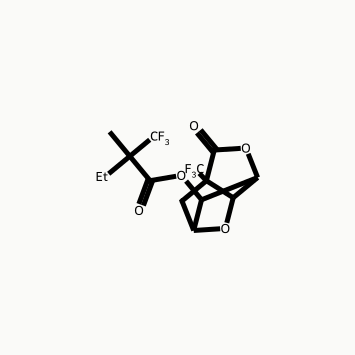 CCC(C)(C(=O)OC1C2CC3(C(F)(F)F)C(=O)OC1C3O2)C(F)(F)F